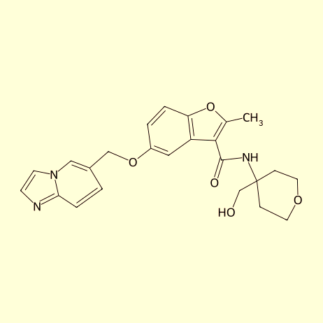 Cc1oc2ccc(OCc3ccc4nccn4c3)cc2c1C(=O)NC1(CO)CCOCC1